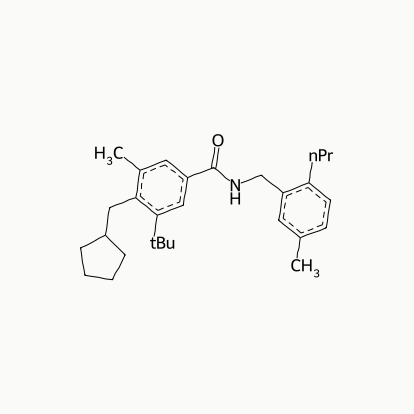 CCCc1ccc(C)cc1CNC(=O)c1cc(C)c(CC2CCCC2)c(C(C)(C)C)c1